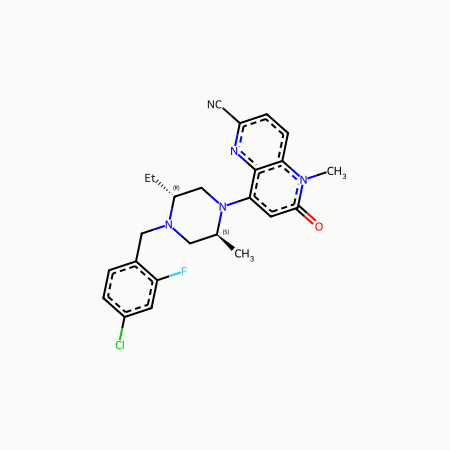 CC[C@@H]1CN(c2cc(=O)n(C)c3ccc(C#N)nc23)[C@@H](C)CN1Cc1ccc(Cl)cc1F